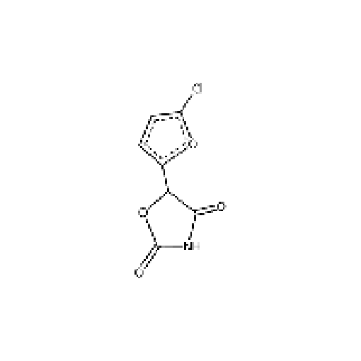 O=C1NC(=O)C(c2ccc(Cl)o2)O1